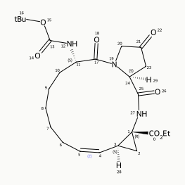 CCOC(=O)[C@@]12C[C@H]1/C=C\CCCCC[C@H](NC(=O)OC(C)(C)C)C(=O)N1CC(=O)C[C@H]1C(=O)N2